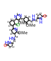 COc1cc(-c2ncnc(-c3cccc(-c4ccc(CNC[C@@H]5CCC(=O)N5)c(OC)n4)c3Cl)c2OC)ccc1CNC[C@H]1CCC(=O)N1